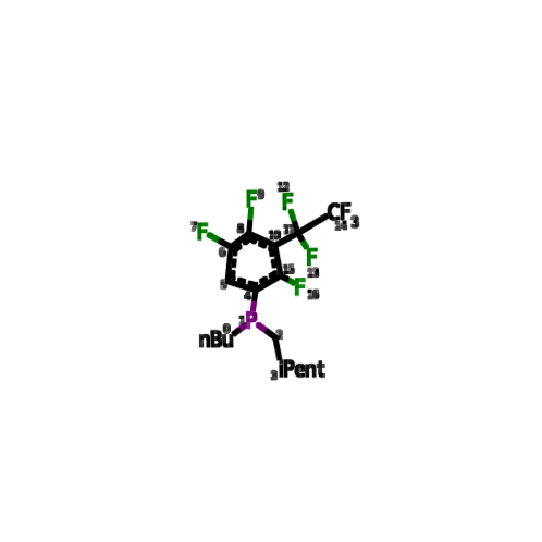 CCCCP(CC(C)CCC)c1cc(F)c(F)c(C(F)(F)C(F)(F)F)c1F